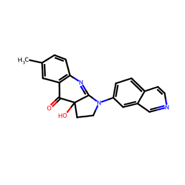 Cc1ccc2c(c1)C(=O)C1(O)CCN(c3ccc4ccncc4c3)C1=N2